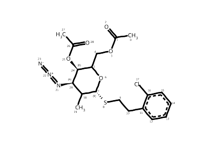 CC(=O)OCC1O[C@H](SCCc2ccccc2Cl)C(C)[C@@H](N=[N+]=[N-])[C@H]1OC(C)=O